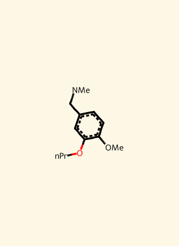 CCCOc1cc(CNC)ccc1OC